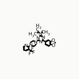 CC(C)N(C)c1nc(-c2ccc3c(c2)OCO3)nc(N2CCN(c3ncccc3C(F)(F)F)CC2)n1